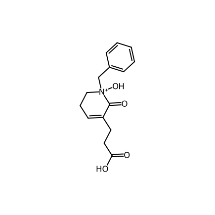 O=C(O)CCC1=CCC[N+](O)(Cc2ccccc2)C1=O